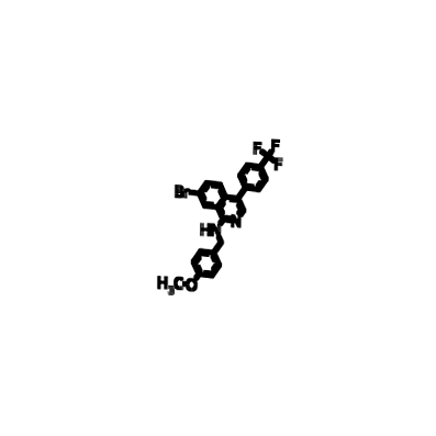 COc1ccc(CNc2ncc(-c3ccc(C(F)(F)F)cc3)c3ccc(Br)cc23)cc1